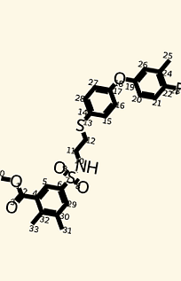 COC(=O)c1cc(S(=O)(=O)NCCSc2ccc(Oc3ccc(F)c(C)c3)cc2)cc(C)c1C